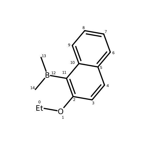 CCOc1ccc2ccccc2c1B(C)C